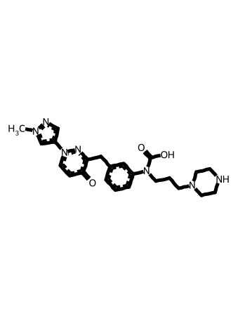 Cn1cc(-n2ccc(=O)c(Cc3cccc(N(CCCN4CCNCC4)C(=O)O)c3)n2)cn1